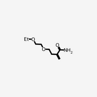 C=C(CCOCCOCC)C(N)=O